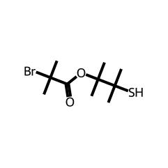 CC(C)(Br)C(=O)OC(C)(C)C(C)(C)S